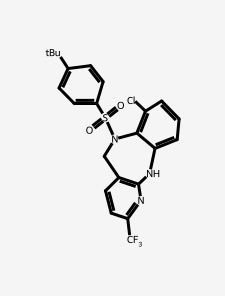 CC(C)(C)c1ccc(S(=O)(=O)N2Cc3ccc(C(F)(F)F)nc3Nc3cccc(Cl)c32)cc1